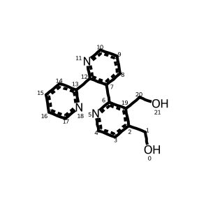 OCc1ccnc(-c2cccnc2-c2ccccn2)c1CO